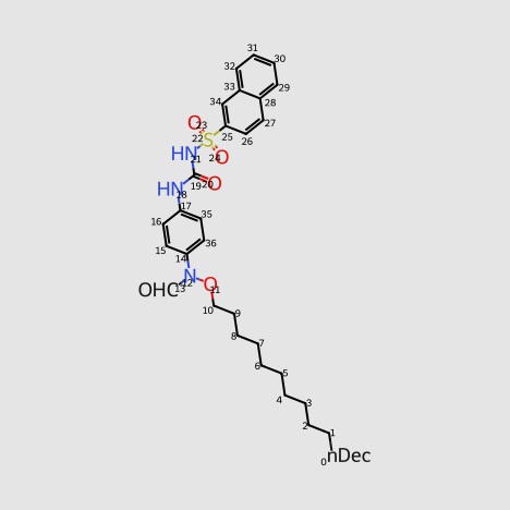 CCCCCCCCCCCCCCCCCCCCON(C=O)c1ccc(NC(=O)NS(=O)(=O)c2ccc3ccccc3c2)cc1